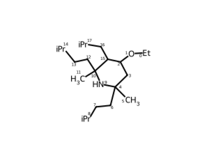 CCOC1CC(C)(CCC(C)C)NC(C)(CCC(C)C)C1CC(C)C